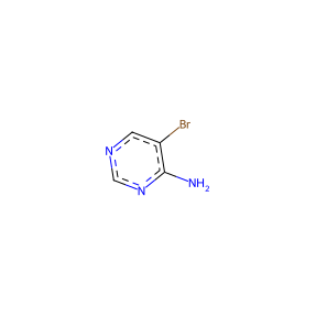 Nc1ncncc1Br